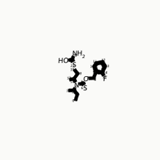 CCC(C)N(C(=S)OCc1ccccc1F)C(C)CC.NC(O)=S